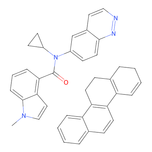 C1=CC2=C(CC1)CCc1c2ccc2ccccc12.Cn1ccc2c(C(=O)N(c3ccc4nnccc4c3)C3CC3)cccc21